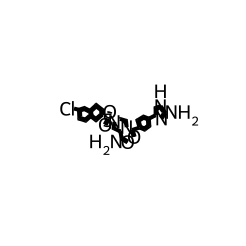 NC(=O)C1CN(S(=O)(=O)c2ccc3cc(Cl)ccc3c2)CCN1C(=O)c1ccc(-c2c[nH]c(N)n2)cc1